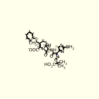 C[n+]1ccccc1SCC1=C(C(=O)[O-])N2C(=O)[C@@H](NC(=O)/C(=N\OC(C)(C)C(=O)O)c3csc(N)n3)[C@H]2SC1